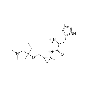 CCC(C)(CN(C)C)OCC1CC1(C)NC(=O)C(N)Cc1cnc[nH]1